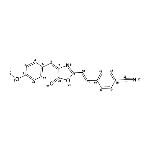 COc1ccc(C=C2N=C(C=Cc3ccc(C#N)cc3)OC2=O)cc1